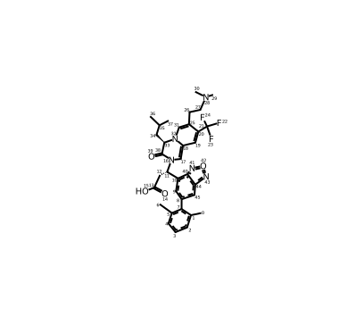 Cc1cccc(C)c1-c1cc([C@H](CC(=O)O)N2C=C3C=C(C(F)(F)F)C(CCN(C)C)=CN3[C@H](CC(C)C)C2=O)c2nonc2c1